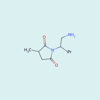 CC1CC(=O)N(C(CN)C(C)C)C1=O